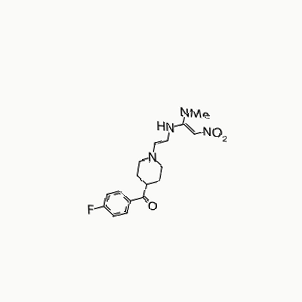 CNC(=C[N+](=O)[O-])NCCN1CCC(C(=O)c2ccc(F)cc2)CC1